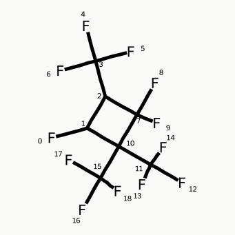 FC1C(C(F)(F)F)C(F)(F)C1(C(F)(F)F)C(F)(F)F